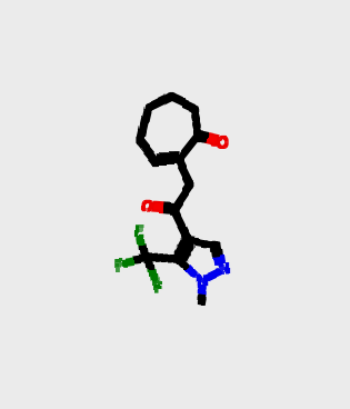 Cn1ncc(C(=O)CC2=CCCCCC2=O)c1C(F)(F)F